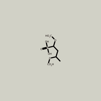 CC(CC(OC(=O)O)P(=O)(O)O)OC(=O)O